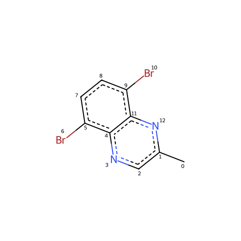 Cc1cnc2c(Br)ccc(Br)c2n1